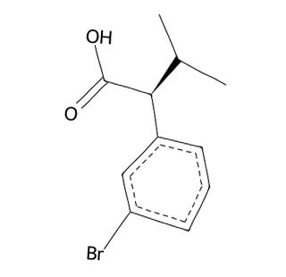 CC(C)[C@H](C(=O)O)c1cccc(Br)c1